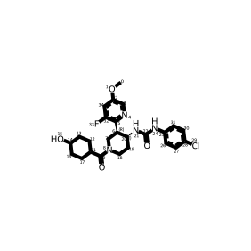 COc1cnc([C@@H]2CN(C(=O)C3CCC(O)CC3)CC[C@H]2NC(=O)Nc2ccc(Cl)cc2)c(F)c1